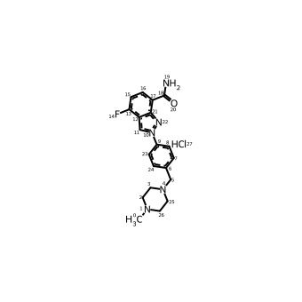 CN1CCN(Cc2ccc(-n3cc4c(F)ccc(C(N)=O)c4n3)cc2)CC1.Cl